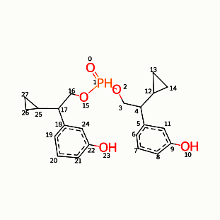 O=[PH](OCC(c1cccc(O)c1)C1CC1)OCC(c1cccc(O)c1)C1CC1